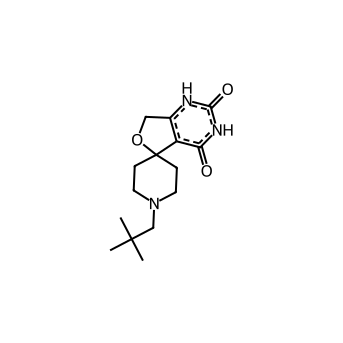 CC(C)(C)CN1CCC2(CC1)OCc1[nH]c(=O)[nH]c(=O)c12